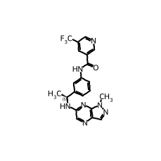 C[C@H](Nc1cnc2cnn(C)c2n1)c1cccc(NC(=O)c2cncc(C(F)(F)F)c2)c1